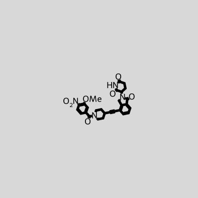 COc1cc(C(=O)N2CCC(C#Cc3cccc4c3CN(C3CCC(=O)NC3=O)C4=O)CC2)ccc1[N+](=O)[O-]